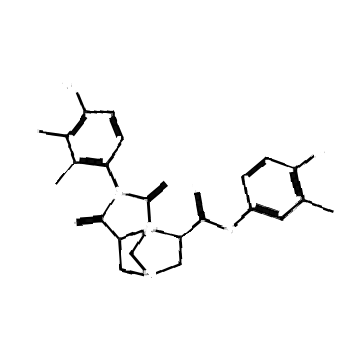 Cc1cc(NC(=O)C2CN3CC4C(=O)N(c5ccc(C#N)c(Cl)c5C)C(=O)[N+]24C3)ccc1Br